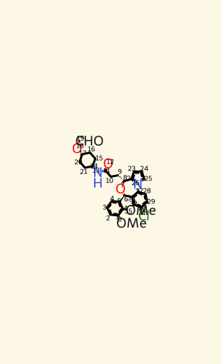 COc1cccc([C@H]2O[C@H](CCC(=O)NC3CCC(OC=O)CC3)c3cccn3-c3ccc(Cl)cc32)c1OC